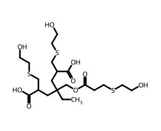 CCC(COC(=O)CCSCCO)(CC(CSCCO)C(=O)O)CC(CSCCO)C(=O)O